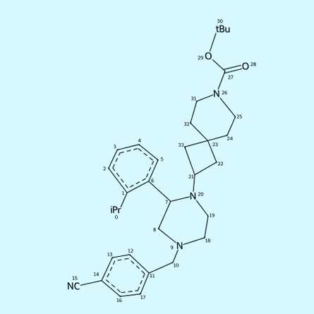 CC(C)c1ccccc1C1CN(Cc2ccc(C#N)cc2)CCN1C1CC2(CCN(C(=O)OC(C)(C)C)CC2)C1